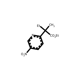 CCOC(=O)C(C)(CC)c1ccc([N+](=O)[O-])cn1